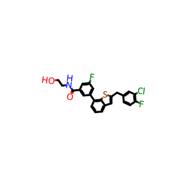 O=C(NCCO)c1cc(F)cc(-c2cccc3cc(Cc4ccc(F)c(Cl)c4)sc23)c1